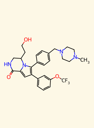 CN1CCN(Cc2ccc(-c3c(-c4cccc(OC(F)(F)F)c4)cc4n3C(CCO)CNC4=O)cc2)CC1